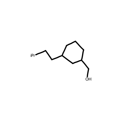 CC(C)CCC1CCCC(CO)C1